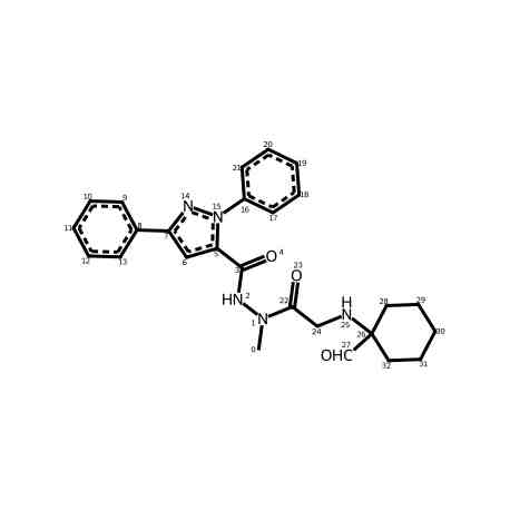 CN(NC(=O)c1cc(-c2ccccc2)nn1-c1ccccc1)C(=O)CNC1(C=O)CCCCC1